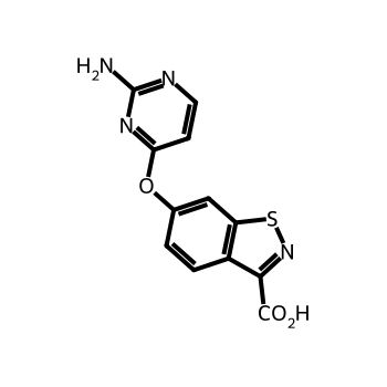 Nc1nccc(Oc2ccc3c(C(=O)O)nsc3c2)n1